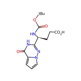 CC(C)(C)OC(=O)N[C@@H](CCC(=O)O)c1nn2cccc2c(=O)[nH]1